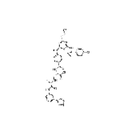 O=C(NC[C@H](NC(=O)c1ccc(Nc2nc(NC3(c4ccc(Cl)cc4)CC3)nc(OCC(F)(F)F)n2)cc1)C(=O)Cl)C(=O)Nc1cccc(-n2ccnc2)c1